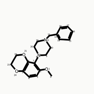 COc1ccc2c(c1N1CCN(Cc3ccccc3)CC1)OCCO2